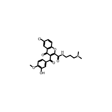 COc1ccc(C(=O)c2c(C(=O)NCCCN(C)C)oc3ccc(Cl)cc3c2=O)cc1O